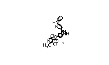 Cc1ncc(Cl)c([C@@H](C)Oc2ccc3[nH]nc(-c4ccc(N[C@H]5CCOC5)nc4)c3c2)c1Cl